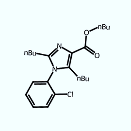 CCCCOC(=O)c1nc(CCCC)n(-c2ccccc2Cl)c1CCCC